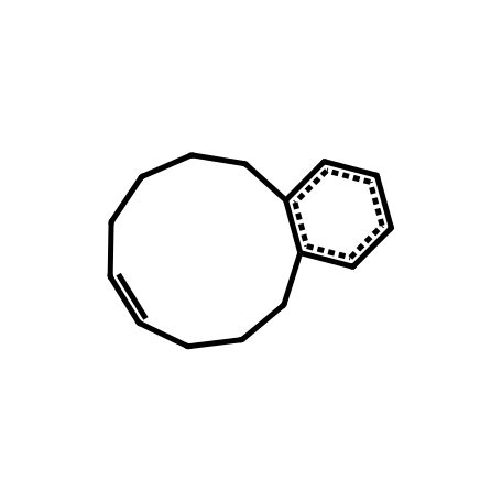 C1=CCCCc2ccccc2CCCC1